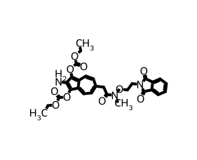 CCOC(=O)Oc1c2ccc(CC(=O)N(C)OCCN3C(=O)c4ccccc4C3=O)ccc-2c(OC(=O)OCC)c1N